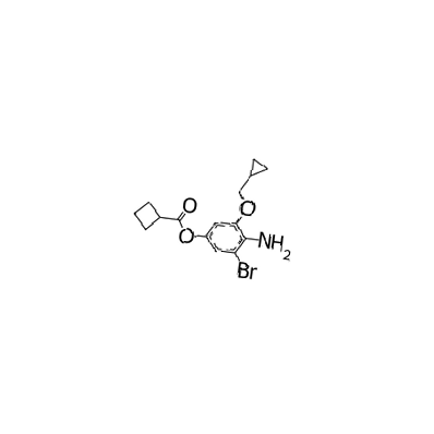 Nc1c(Br)cc(OC(=O)C2CCC2)cc1OCC1CC1